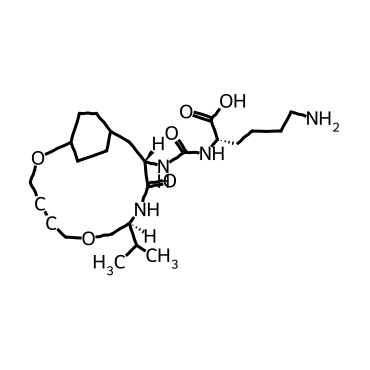 CC(C)[C@H]1COCCCCOC2CCC(CC2)C[C@H](NC(=O)N[C@@H](CCCCN)C(=O)O)C(=O)N1